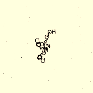 CN1CN(CCOCCO)C(=O)c2c1nc(OCc1cccc(Cl)c1)n2Cc1ccc(Cl)cc1